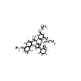 CCOc1cc(OC(C)C)c(F)c(C(Nc2ccc3c(N)nccc3c2)c2nc(-c3ccccc3)c[nH]2)c1